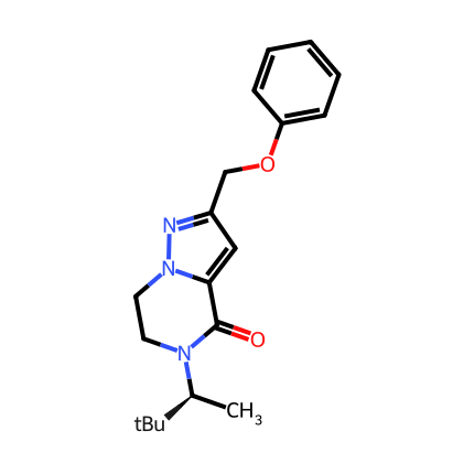 C[C@H](N1CCn2nc(COc3ccccc3)cc2C1=O)C(C)(C)C